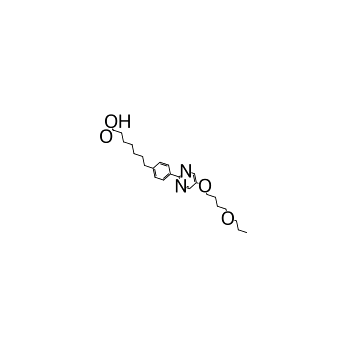 CCCOCCCCOc1cnc(-c2ccc(CCCCCCC(=O)O)cc2)nc1